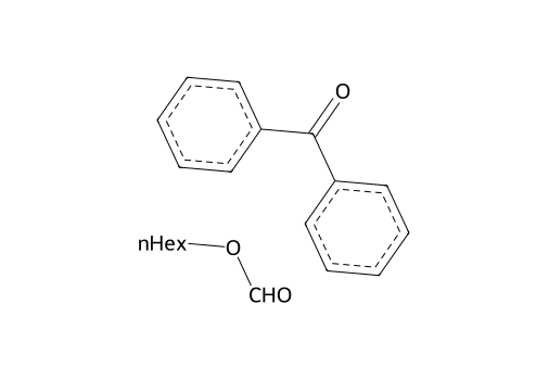 CCCCCCOC=O.O=C(c1ccccc1)c1ccccc1